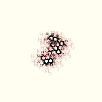 Bc1c(B)c(-c2c3c(B)c(B)c(B)c(B)c3c(-c3c(B)c(B)c(B)c4oc5c(B)c6c(B)c(B)c(B)c(B)c6c(B)c5c34)c3c(B)c(B)c(B)c(B)c23)c(B)c(-c2c(B)c(B)c(B)c3c(B)c(B)c4c(B)c(B)c(B)c(B)c4c23)c1B